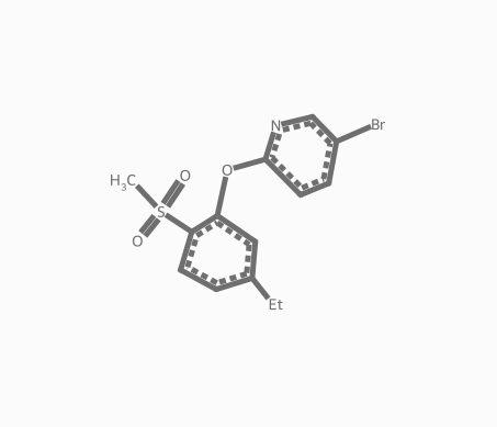 CCc1ccc(S(C)(=O)=O)c(Oc2ccc(Br)cn2)c1